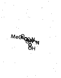 COC(=O)Cc1ccc2c(c1)OC(C(c1ccc(O)cc1)n1cnc(CCN(C)C)c1)O2